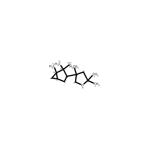 CC1(C)CC(C)(C2CC3CC3(C)C2(C)C)CO1